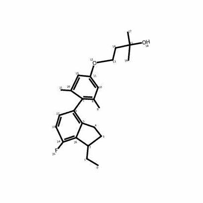 CCC1CCc2c(-c3c(C)cc(OCCC(C)(C)O)cc3C)ccc(F)c21